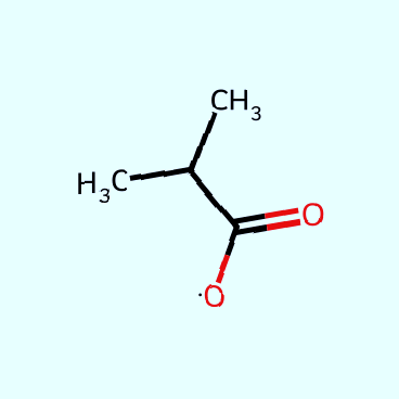 CC(C)C([O])=O